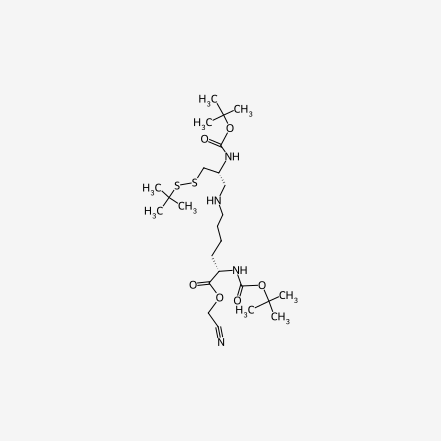 CC(C)(C)OC(=O)N[C@H](CNCCCC[C@H](NC(=O)OC(C)(C)C)C(=O)OCC#N)CSSC(C)(C)C